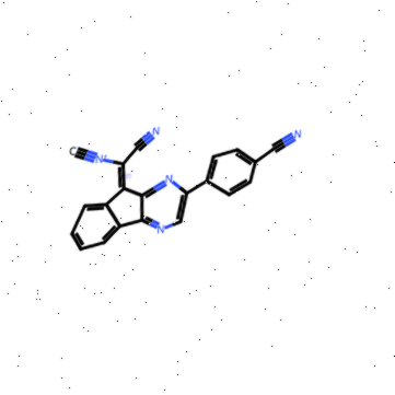 [C-]#[N+]/C(C#N)=C1\c2ccccc2-c2ncc(-c3ccc(C#N)cc3)nc21